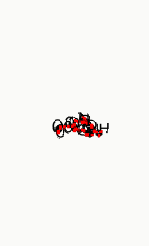 COc1cc(COc2cccc([C@@H](NC(=O)OC3CN4CCC3CC4)c3ccccc3)c2)ccc1C(=O)OCCCC1OCCO1